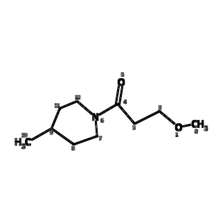 COCCC(=O)N1CCC(C)CC1